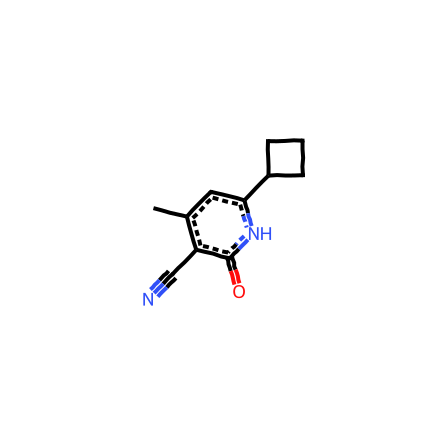 Cc1cc(C2CCC2)[nH]c(=O)c1C#N